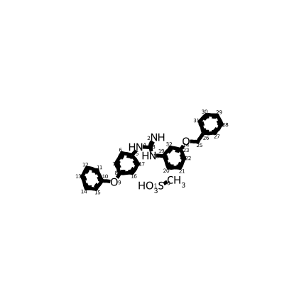 CS(=O)(=O)O.N=C(Nc1ccc(Oc2ccccc2)cc1)Nc1cccc(OCc2ccccc2)c1